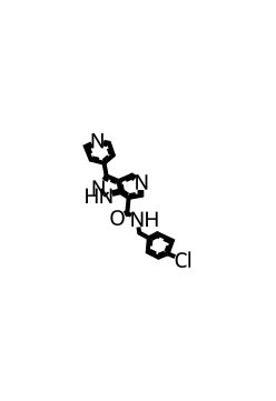 O=C(NCc1ccc(Cl)cc1)c1cncc2c(-c3ccncc3)n[nH]c12